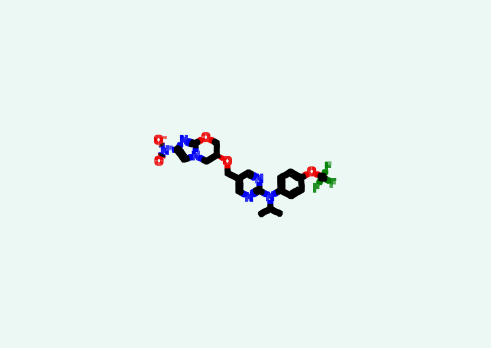 CC(C)N(c1ccc(OC(F)(F)F)cc1)c1ncc(CO[C@@H]2COc3nc([N+](=O)[O-])cn3C2)cn1